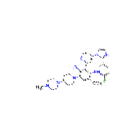 COc1cc(N2CCC(N3CCN(C)CC3)CC2)c(N)c(-c2cc(-n3ccnc3-c3ccc(F)cc3)ccn2)c1N